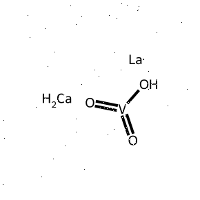 [CaH2].[La].[O]=[V](=[O])[OH]